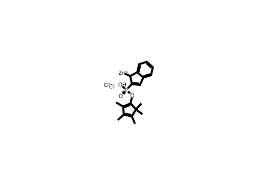 CC1=C(C)C(C)(C)C(OP(=O)(O)C2=Cc3ccccc3[CH]2[Zr+2])=C1C.[Cl-].[Cl-]